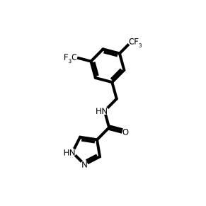 O=C(NCc1cc(C(F)(F)F)cc(C(F)(F)F)c1)c1cn[nH]c1